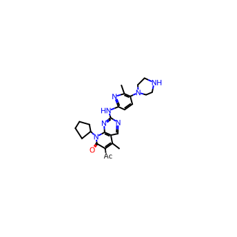 CC(=O)c1c(C)c2cnc(Nc3ccc(N4CCNCC4)c(C)n3)nc2n(C2CCCC2)c1=O